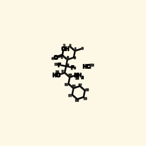 CC(C)CC(C(=O)O)C(F)(F)C(O)C(N)CC1CCCCC1.Cl